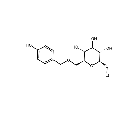 CCO[C@H]1O[C@@H](COCc2ccc(O)cc2)[C@H](O)[C@@H](O)[C@@H]1O